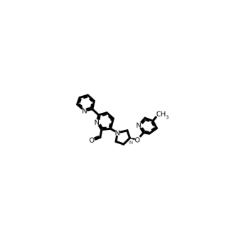 Cc1ccc(O[C@H]2CCN(c3ccc(-c4ccccn4)nc3C=O)C2)nc1